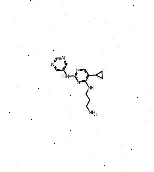 NCCCNc1nc(Nc2cncnc2)ncc1C1CC1